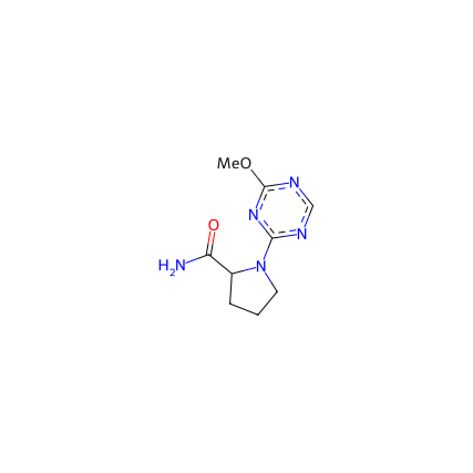 COc1ncnc(N2CCCC2C(N)=O)n1